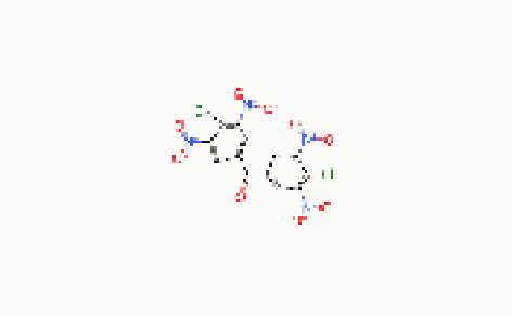 O=C(c1cc([N+](=O)[O-])c(Cl)c([N+](=O)[O-])c1)c1cc([N+](=O)[O-])c(Cl)c([N+](=O)[O-])c1